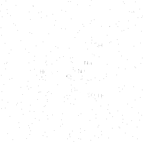 O=S(=O)(O)OOS(=O)(=O)O.[H+].[Na+].[Na+].[S-2]